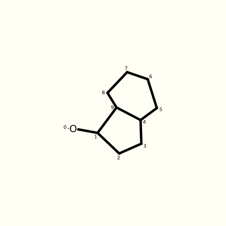 [O]C1CCC2CCCCC12